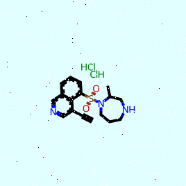 C#Cc1cncc2cccc(S(=O)(=O)N3CCCNCC3C)c12.Cl.Cl